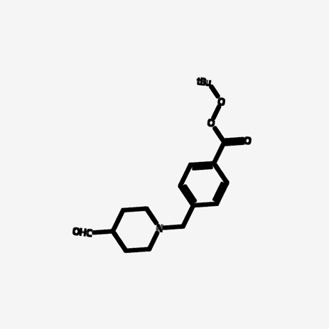 CC(C)(C)OOC(=O)c1ccc(CN2CCC(C=O)CC2)cc1